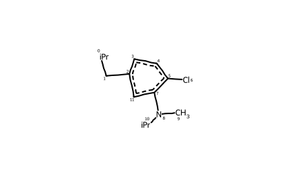 CC(C)Cc1ccc(Cl)c(N(C)C(C)C)c1